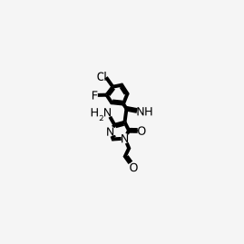 N=C(c1ccc(Cl)c(F)c1)c1c(N)ncn(CC=O)c1=O